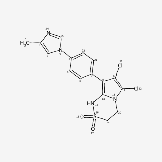 Cc1cn(-c2ccc(-c3c(Cl)c(Cl)n4c3NS(=O)(=O)CC4)cc2)cn1